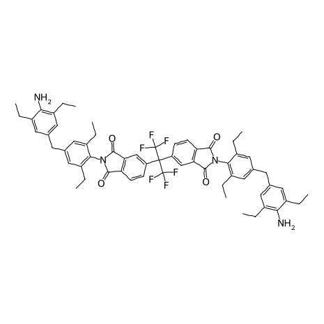 CCc1cc(Cc2cc(CC)c(N3C(=O)c4ccc(C(c5ccc6c(c5)C(=O)N(c5c(CC)cc(Cc7cc(CC)c(N)c(CC)c7)cc5CC)C6=O)(C(F)(F)F)C(F)(F)F)cc4C3=O)c(CC)c2)cc(CC)c1N